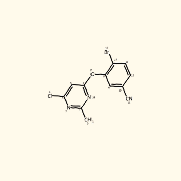 Cc1nc(Cl)cc(Oc2cc(C#N)ccc2Br)n1